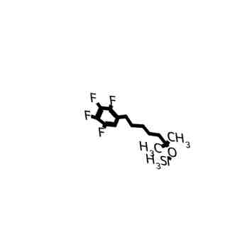 CC(C)(CCCCCc1cc(F)c(F)c(F)c1F)O[SiH3]